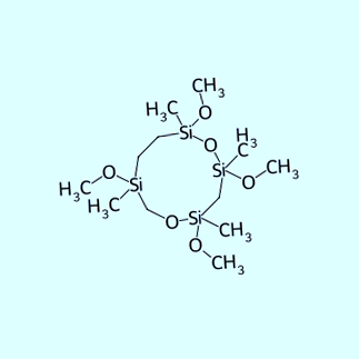 CO[Si]1(C)CC[Si](C)(OC)O[Si](C)(OC)C[Si](C)(OC)OC1